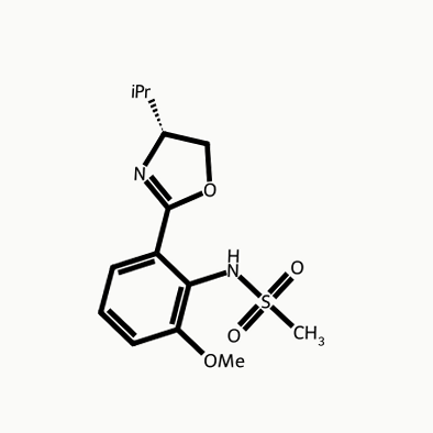 COc1cccc(C2=N[C@H](C(C)C)CO2)c1NS(C)(=O)=O